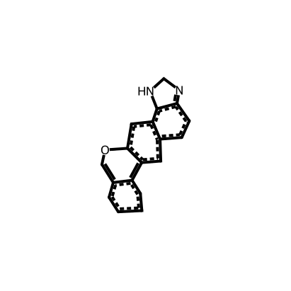 C1=c2ccccc2=c2cc3ccc4c(c3cc2O1)NCN=4